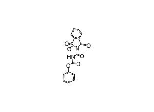 O=C(NC(=O)N1C(=O)c2ccccc2S1(=O)=O)Oc1ccccc1